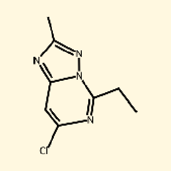 CCc1nc(Cl)cc2nc(C)nn12